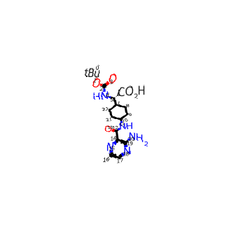 CC(C)(C)OC(=O)N[C@H](C(=O)O)C1CCC(NC(=O)c2nccnc2N)CC1